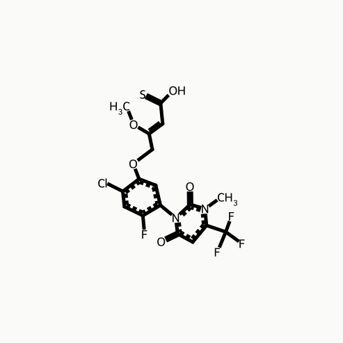 COC(=CC(O)=S)COc1cc(-n2c(=O)cc(C(F)(F)F)n(C)c2=O)c(F)cc1Cl